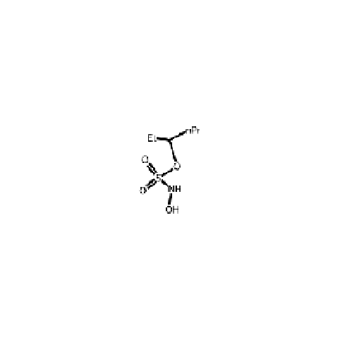 CCCC(CC)OS(=O)(=O)NO